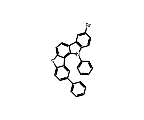 Brc1ccc2c(c1)c1ccc3sc4ccc(-c5ccccc5)cc4c3c1n2-c1ccccc1